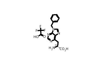 N[C@H](Cc1ncnc2c1ncn2Cc1ccccc1)C(=O)O.O=C(O)C(F)(F)F